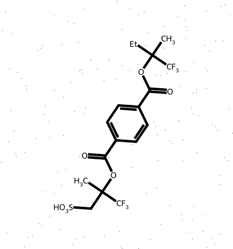 CCC(C)(OC(=O)c1ccc(C(=O)OC(C)(CS(=O)(=O)O)C(F)(F)F)cc1)C(F)(F)F